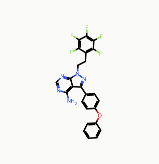 Nc1ncnc2c1c(-c1ccc(Oc3ccccc3)cc1)nn2CCc1c(F)c(F)c(F)c(F)c1F